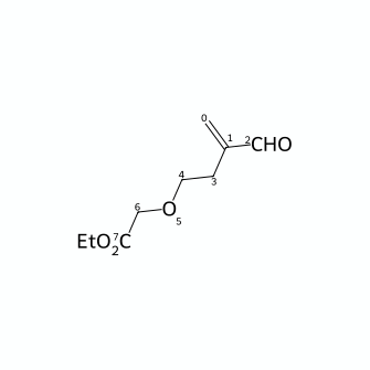 C=C(C=O)CCOCC(=O)OCC